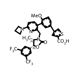 COc1ccc(-c2csc(C(=O)O)c2)cc1-c1ccc(N2CCC2)nc1CN1C(=O)O[C@H](c2cc(C(F)(F)F)cc(C(F)(F)F)c2)[C@@H]1C